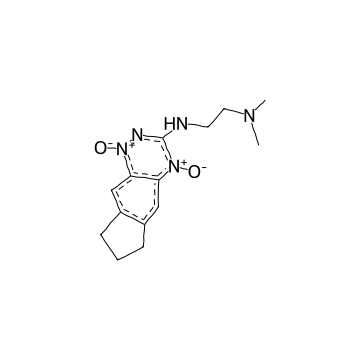 CN(C)CCNc1n[n+]([O-])c2cc3c(cc2[n+]1[O-])CCC3